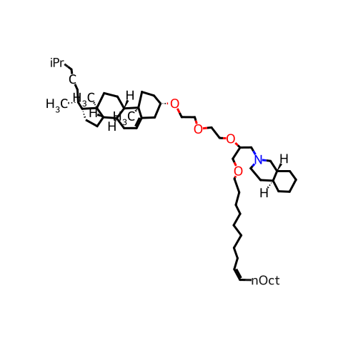 CCCCCCCC/C=C\CCCCCCCCOCC(CN1CC[C@@H]2CCCC[C@H]2C1)OCCOCCO[C@H]1CC[C@@]2(C)C(=CC[C@H]3[C@@H]4CC[C@H]([C@H](C)CCCC(C)C)[C@@]4(C)CC[C@@H]32)C1